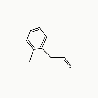 Cc1ccccc1C[C]=S